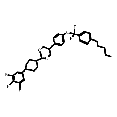 CCCCCc1ccc(C(F)(F)Oc2ccc(C3COC(C4CCC(c5cc(F)c(F)c(F)c5)CC4)OC3)cc2)cc1